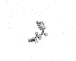 [BaH2].[BaH2].[BaH2].[O-]P([O-])[O-].[O-]P([O-])[O-].[Zn+2].[Zn+2].[Zn+2]